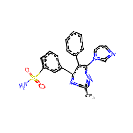 NS(=O)(=O)c1cccc(-c2nc(C(F)(F)F)nc(-n3ccnc3)c2-c2ccccc2)c1